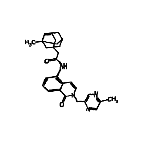 Cc1cnc(Cn2ccc3c(NC(=O)CC45CC6=CC(C)(CC(C6)C4)C5)cccc3c2=O)cn1